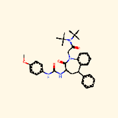 COc1ccc(NC(=O)NC2CC(c3ccccc3)c3ccccc3N(CC(=O)N(C(C)(C)C)C(C)(C)C)C2=O)cc1